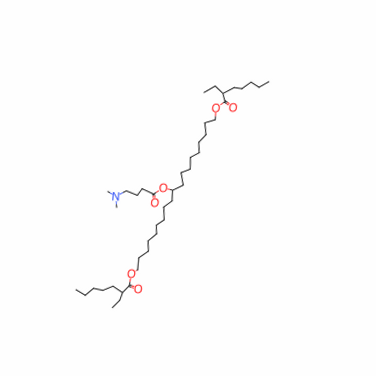 CCCCCC(CC)C(=O)OCCCCCCCCCC(CCCCCCCCCOC(=O)C(CC)CCCCC)OC(=O)CCCN(C)C